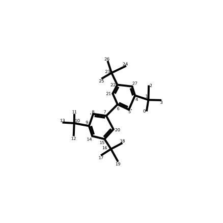 CC(C)(C)c1[c]c(-c2[c]c(C(C)(C)C)cc(C(C)(C)C)c2)cc(C(C)(C)C)c1